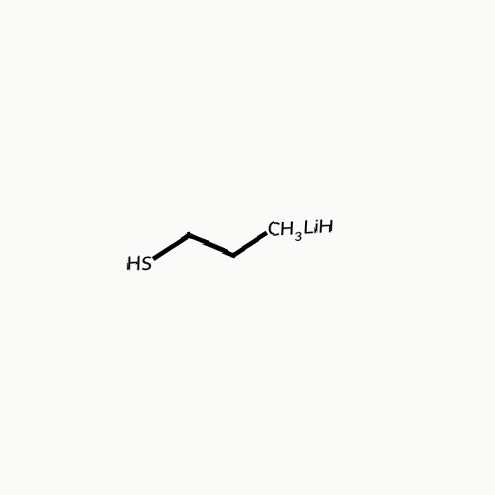 CCCS.[LiH]